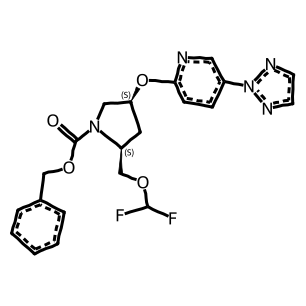 O=C(OCc1ccccc1)N1C[C@@H](Oc2ccc(-n3nccn3)cn2)C[C@H]1COC(F)F